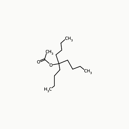 CCCCC(CCCC)(CCCC)OC(C)=O